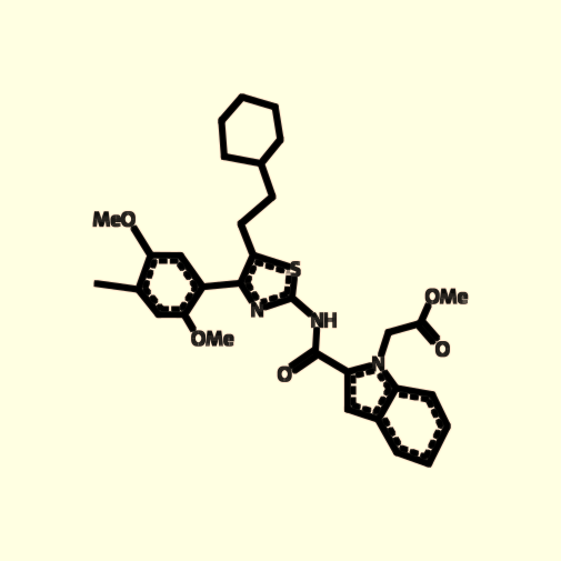 COC(=O)Cn1c(C(=O)Nc2nc(-c3cc(OC)c(C)cc3OC)c(CCC3CCCCC3)s2)cc2ccccc21